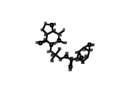 COC(C)C1OCCC1C(=O)OCC(C)(C)COC(=O)C1CC2OC1C1OC21